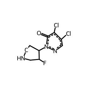 O=c1c(Cl)c(Cl)cnn1C1CCNCC1F